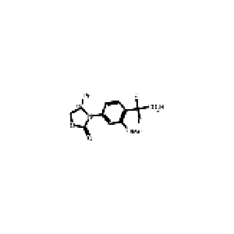 COc1cc(N2C(=O)OC[C@H]2C(C)C)ccc1C(F)(F)C(=O)O